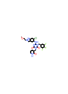 COCCn1cc2cc(Nc3nc(=O)n(Cc4ccc[nH]c4=O)c(=O)n3Cc3cc(F)c(F)c(F)c3)c(Cl)cc2n1